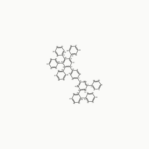 c1ccc(-c2nc(-c3ccc(-c4cc(-c5ccccc5)c(-c5ccccc5)c(-c5ccccc5)c4-c4ccccc4)cc3)nc(-c3ccccc3-c3ccccc3)n2)cc1